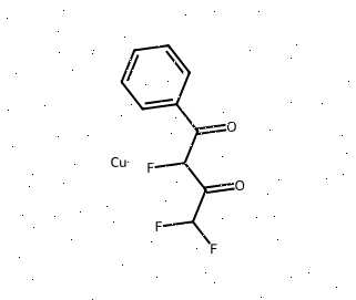 O=C(c1ccccc1)C(F)C(=O)C(F)F.[Cu]